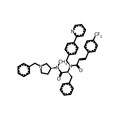 CN(C(=O)[C@H](Cc1ccccc1)N(Cc1ccc(-c2ccccn2)cc1)C(=O)C=Cc1ccc(C(F)(F)F)cc1)[C@H]1CCN(Cc2ccccc2)C1